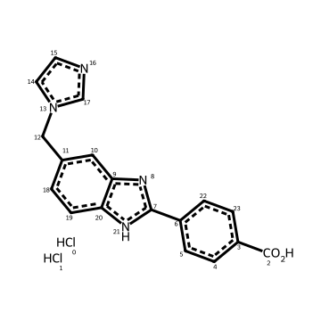 Cl.Cl.O=C(O)c1ccc(-c2nc3cc(Cn4ccnc4)ccc3[nH]2)cc1